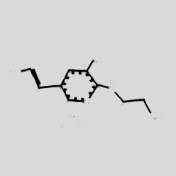 Cl.Cl.NCCNc1ncc(C=CC(=O)O)cc1Cl